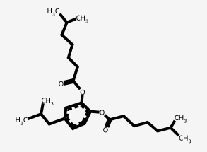 CC(C)CCCCC(=O)Oc1ccc(CC(C)C)cc1OC(=O)CCCCC(C)C